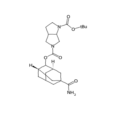 CC(C)(C)OC(=O)N1CCC2CN(C(=O)OC3[C@@H]4CC5C[C@H]3CC(C(N)=O)(C5)C4)CC21